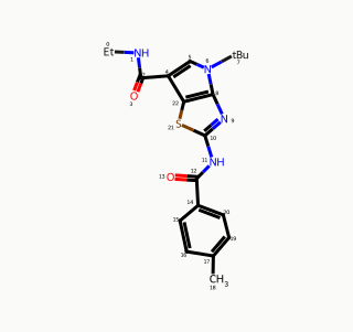 CCNC(=O)c1cn(C(C)(C)C)c2nc(NC(=O)c3ccc(C)cc3)sc12